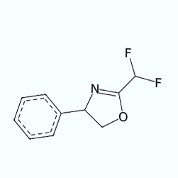 FC(F)C1=NC(c2ccccc2)CO1